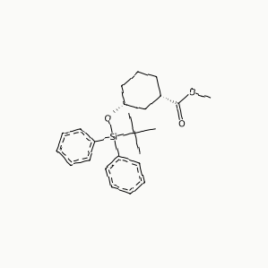 COC(=O)[C@H]1CCC[C@@H](O[Si](c2ccccc2)(c2ccccc2)C(C)(C)C)C1